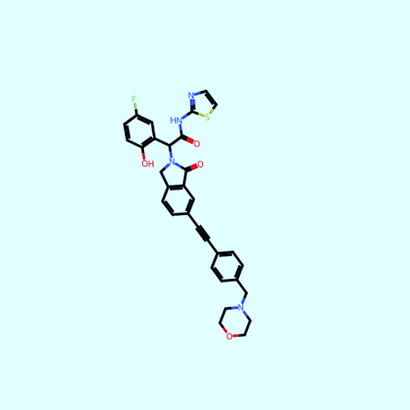 O=C(Nc1nccs1)C(c1cc(F)ccc1O)N1Cc2ccc(C#Cc3ccc(CN4CCOCC4)cc3)cc2C1=O